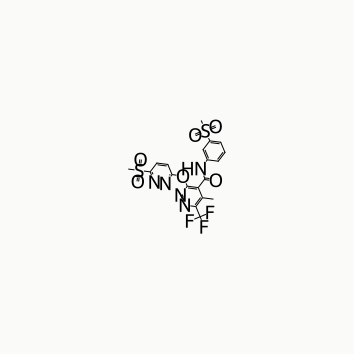 Cc1c(C(F)(F)F)nnc(Oc2ccc(S(C)(=O)=O)nn2)c1C(=O)Nc1cccc(S(C)(=O)=O)c1